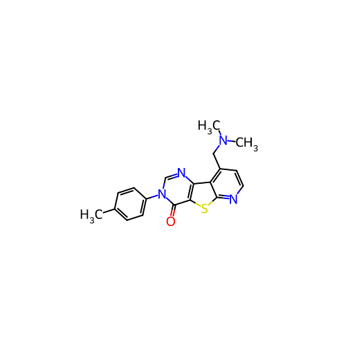 Cc1ccc(-n2cnc3c(sc4nccc(CN(C)C)c43)c2=O)cc1